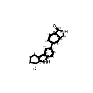 C[C@@H]1CCCc2c1[nH]c1ccc(-c3ccc4c(c3)CNC4=O)cc21